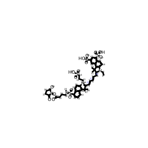 CCN1/C(=C/C=C/C=C/C2=[N+](CCCS(=O)(=O)O)c3ccc4c(S(=O)(=O)N(C)CCCC(=O)ON5C(=O)CCC5=O)cccc4c3C2(C)C)C(C)(C)c2c1ccc1c(S(=O)(=O)O)cc(S(=O)(=O)O)cc21